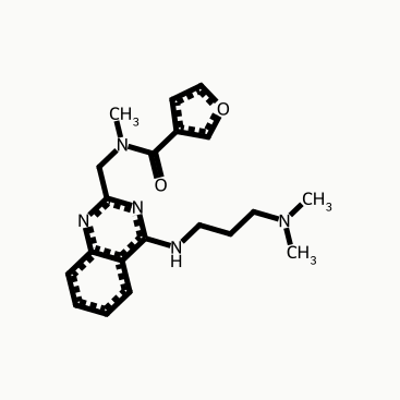 CN(C)CCCNc1nc(CN(C)C(=O)c2ccoc2)nc2ccccc12